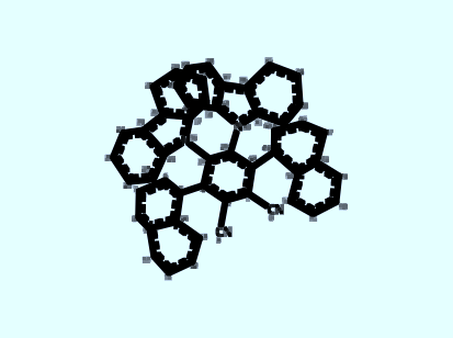 N#Cc1c(C#N)c(-c2cccc3ccccc23)c(-n2c3ccccc3c3ccccc32)c(-n2c3ccccc3c3ccccc32)c1-c1cccc2ccccc12